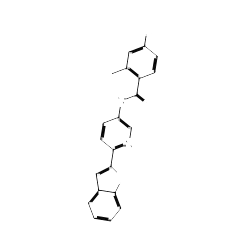 Cc1cc(Cl)ccc1C(=O)Nc1ccc(-c2cc3ccccc3o2)nc1